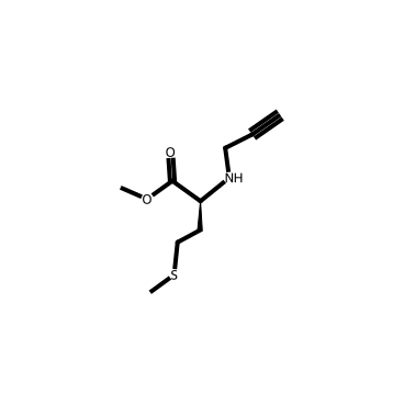 C#CCN[C@@H](CCSC)C(=O)OC